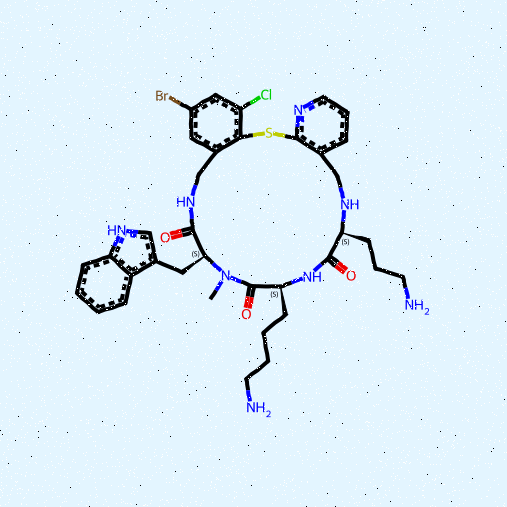 CN1C(=O)[C@H](CCCCN)NC(=O)[C@H](CCCN)NCc2cccnc2Sc2c(Cl)cc(Br)cc2CNC(=O)[C@@H]1Cc1c[nH]c2ccccc12